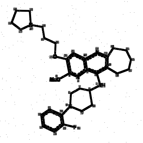 COc1nc2c(NC3CCN(c4ccccc4F)CC3)c3c(nc2cc1OCCCN1CCCC1)CCCCC3